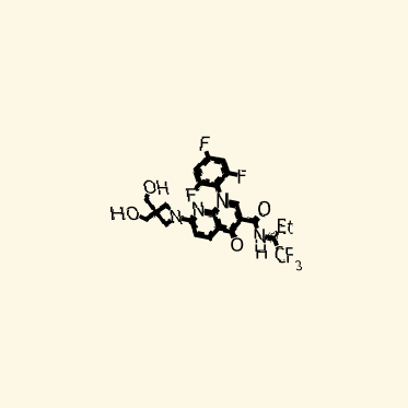 CC[C@H](NC(=O)c1cn(-c2c(F)cc(F)cc2F)c2nc(N3CC(CO)(CO)C3)ccc2c1=O)C(F)(F)F